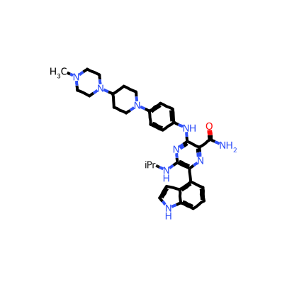 CC(C)Nc1nc(Nc2ccc(N3CCC(N4CCN(C)CC4)CC3)cc2)c(C(N)=O)nc1-c1cccc2[nH]ccc12